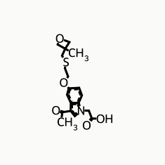 CC(=O)c1cn(CC(=O)O)c2ccc(OCCSCC3(C)COC3)cc12